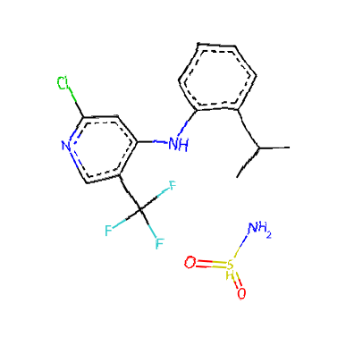 CC(C)c1ccccc1Nc1cc(Cl)ncc1C(F)(F)F.N[SH](=O)=O